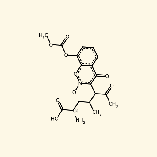 COC(=O)Oc1cccc2c(=O)c(C(C(C)=O)C(C)C[C@H](N)C(=O)O)[n+]([O-])oc12